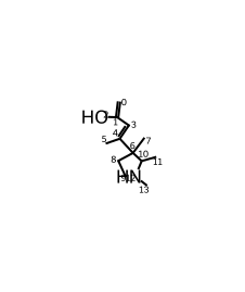 C=C(O)/C=C(\C)C(C)(CC)C(C)NC